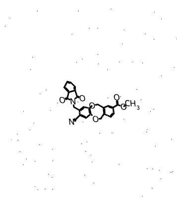 COC(=O)c1ccc2c(c1)COc1cc(CN3C(=O)c4ccccc4C3=O)c(C#N)cc1OC2